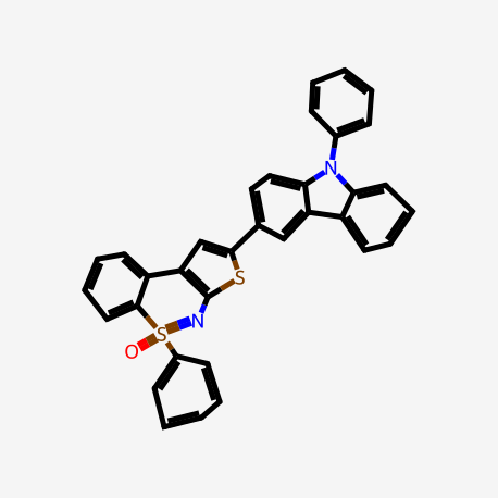 O=S1(c2ccccc2)=Nc2sc(-c3ccc4c(c3)c3ccccc3n4-c3ccccc3)cc2-c2ccccc21